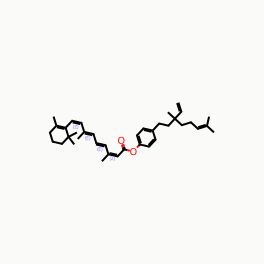 C=CC(C)(CCC=C(C)C)CCc1ccc(OC(=O)\C=C(C)/C=C/C=C(C)/C=C\C2=C(C)CCCC2(C)C)cc1